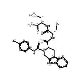 CC(C)C[C@H](NC(=O)[C@H]1Cc2c([nH]c3ccccc23)CN1C(=O)Nc1ccc(Cl)cc1)C(=O)N[C@@H](CC(=O)O)C(N)=O